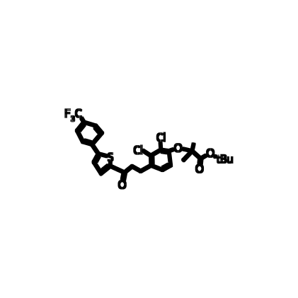 CC(C)(C)OC(=O)C(C)(C)Oc1ccc(CCC(=O)c2ccc(-c3ccc(C(F)(F)F)cc3)s2)c(Cl)c1Cl